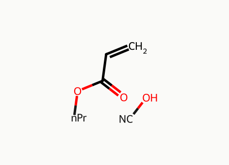 C=CC(=O)OCCC.N#CO